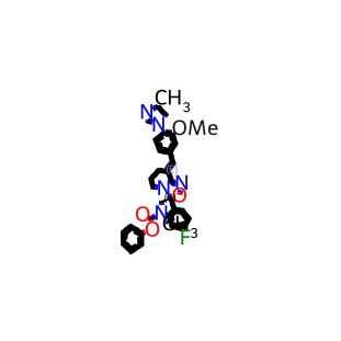 COc1cc(/C=C2\CCCN3C2=NO[C@]3(CN(C)C(=O)Oc2ccccc2)c2ccc(F)cc2)ccc1N1C=NC(C)C1